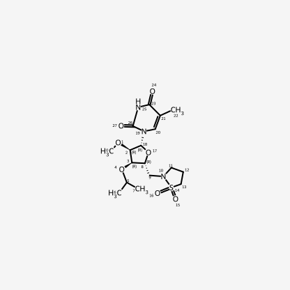 CO[C@@H]1[C@H](OC(C)C)[C@@H](CN2CCCS2(=O)=O)O[C@H]1n1cc(C)c(=O)[nH]c1=O